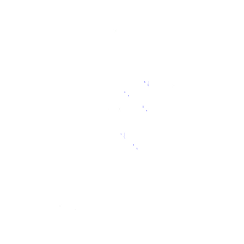 CN(c1ccc(Cl)c(Cl)c1)c1nc2cnn(CCOCCOCC=O)c2c(=O)[nH]1